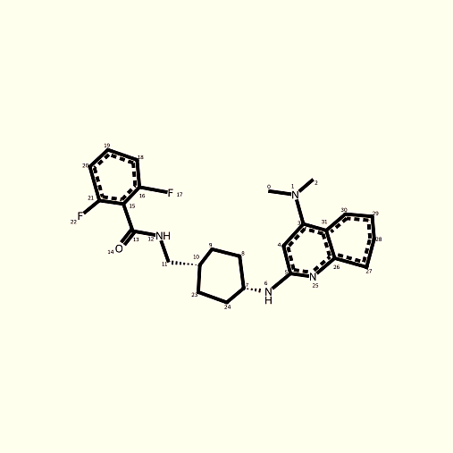 CN(C)c1cc(N[C@H]2CC[C@@H](CNC(=O)c3c(F)cccc3F)CC2)nc2ccccc12